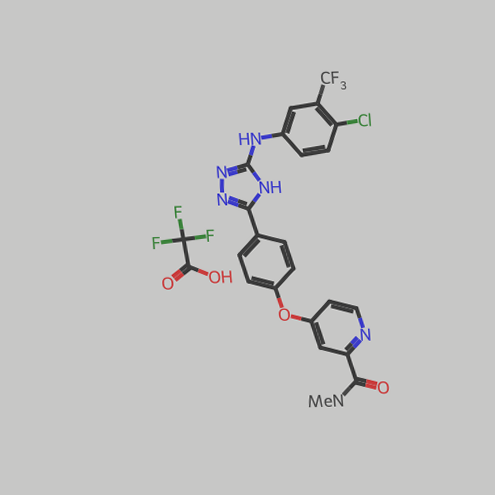 CNC(=O)c1cc(Oc2ccc(-c3nnc(Nc4ccc(Cl)c(C(F)(F)F)c4)[nH]3)cc2)ccn1.O=C(O)C(F)(F)F